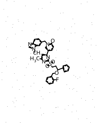 Cc1cc(-c2ccc(=O)n(Cc3ccc4ncn(C)c4c3)c2)nc(S(=O)(=O)CCC(OCc2ccccc2F)c2ccccc2)n1